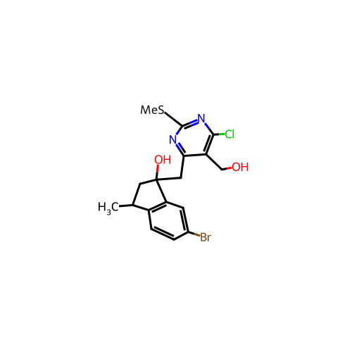 CSc1nc(Cl)c(CO)c(CC2(O)CC(C)c3ccc(Br)cc32)n1